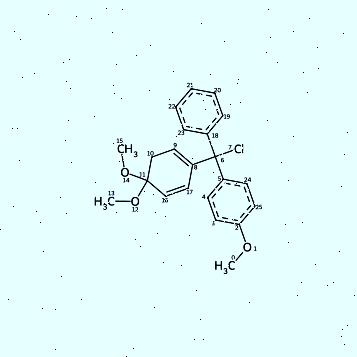 COc1ccc(C(Cl)(C2=CCC(OC)(OC)C=C2)c2ccccc2)cc1